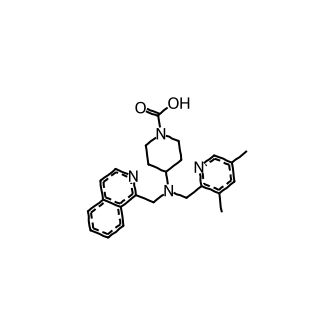 Cc1cnc(CN(Cc2nccc3ccccc23)C2CCN(C(=O)O)CC2)c(C)c1